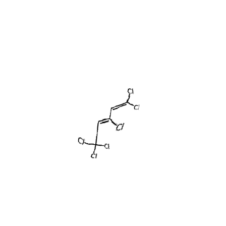 ClC(Cl)=CC(Cl)=CC(Cl)(Cl)Cl